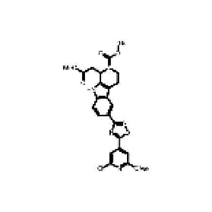 COC(=O)CC1c2[nH]c3ccc(-c4noc(-c5cc(Cl)nc(OC)c5)n4)cc3c2CCN1C(=O)OC(C)(C)C